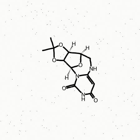 CC1(C)OC2[C@@H](O1)[C@H]1CNc3cc(=O)[nH]c(=O)n3[C@@H]2O1